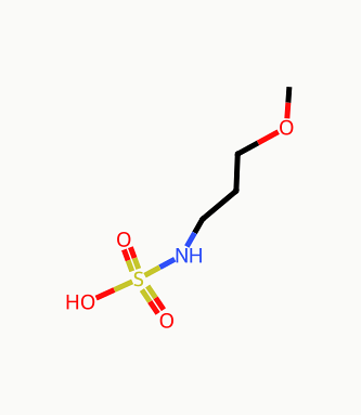 COCCCNS(=O)(=O)O